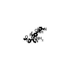 C=CC(=O)N1CCCC(c2nc(-c3ccc(C(=O)Nc4cc(C#N)ccn4)cc3C(F)(F)F)n3c(N)nccc23)C1